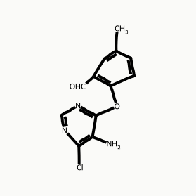 Cc1ccc(Oc2ncnc(Cl)c2N)c(C=O)c1